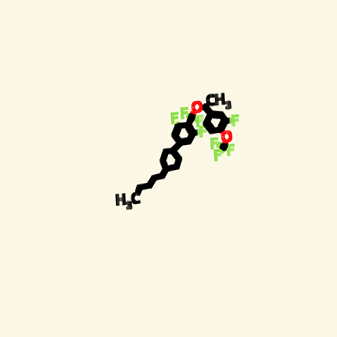 CCCCCC1CCC(c2cc(F)c(C(F)(F)OC(C)c3ccc(OC(F)(F)F)c(F)c3)c(F)c2)CC1